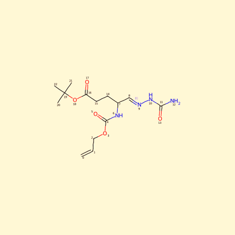 C=CCOC(=O)NC(/C=N/NC(N)=O)CCC(=O)OC(C)(C)C